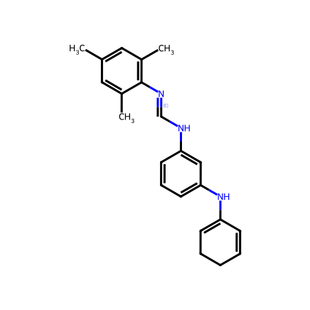 Cc1cc(C)c(/N=C/Nc2cccc(NC3=CCCC=C3)c2)c(C)c1